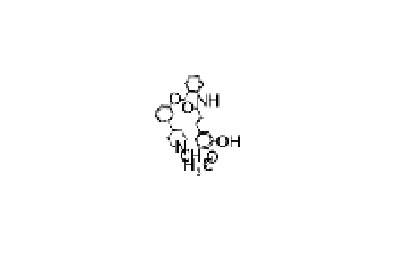 COc1ccc(C=CC(=O)Nc2ccccc2COc2cccc(C3CCN(C)CC3)c2)cc1O